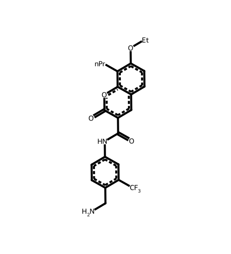 CCCc1c(OCC)ccc2cc(C(=O)Nc3ccc(CN)c(C(F)(F)F)c3)c(=O)oc12